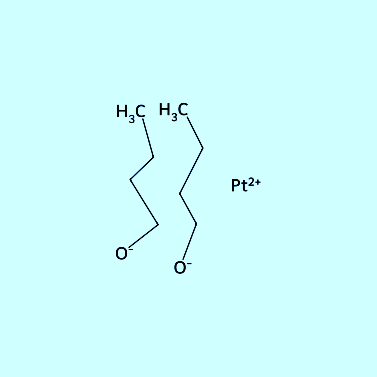 CCCC[O-].CCCC[O-].[Pt+2]